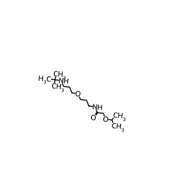 CC(C)OCC(=O)NCCCOCCCNC(C)(C)C